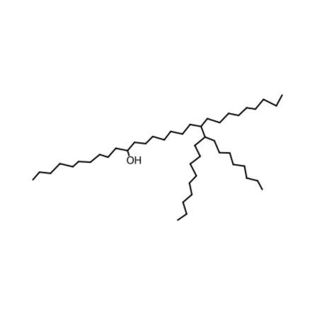 CCCCCCCCCCC(O)CCCCCCCC(CCCCCCCCC)C(CCCCCCCC)CCCCCCCCC